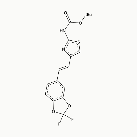 CC(C)(C)OC(=O)Nc1nc(C=Cc2ccc3c(c2)OC(F)(F)O3)cs1